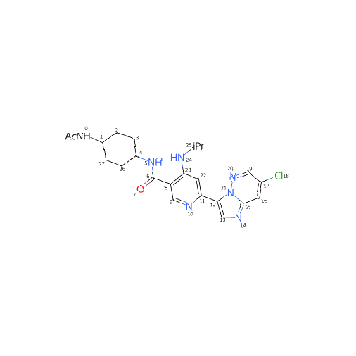 CC(=O)NC1CCC(NC(=O)c2cnc(-c3cnc4cc(Cl)cnn34)cc2NC(C)C)CC1